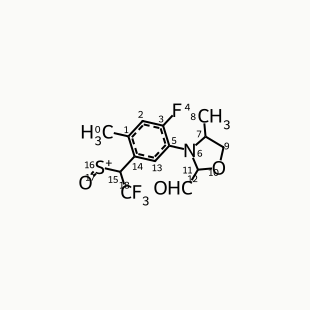 Cc1cc(F)c(N2C(C)COC2C=O)cc1C([S+]=O)C(F)(F)F